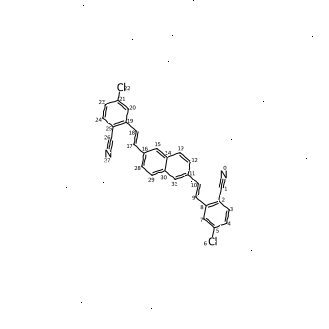 N#Cc1ccc(Cl)cc1C=Cc1ccc2cc(C=Cc3cc(Cl)ccc3C#N)ccc2c1